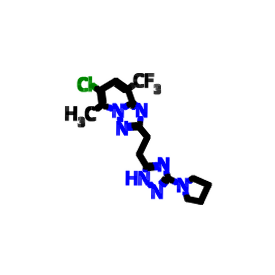 Cc1c(Cl)cc(C(F)(F)F)c2nc(CCc3nc(N4CCCC4)n[nH]3)nn12